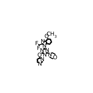 COc1cccc2c1nc(C(F)F)n2-c1nc(Oc2ccncn2)nc(N2CCOCC2)n1